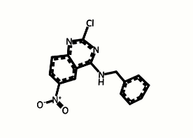 O=[N+]([O-])c1ccc2nc(Cl)nc(NCc3ccccc3)c2c1